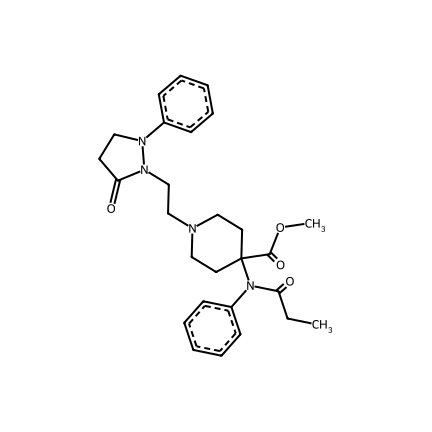 CCC(=O)N(c1ccccc1)C1(C(=O)OC)CCN(CCN2C(=O)CCN2c2ccccc2)CC1